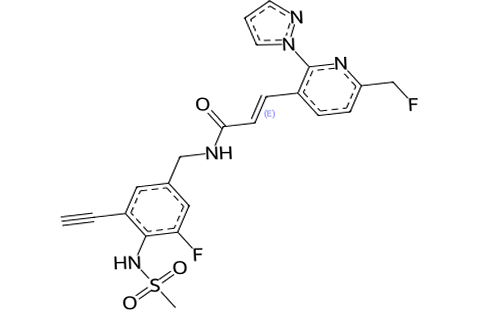 C#Cc1cc(CNC(=O)/C=C/c2ccc(CF)nc2-n2cccn2)cc(F)c1NS(C)(=O)=O